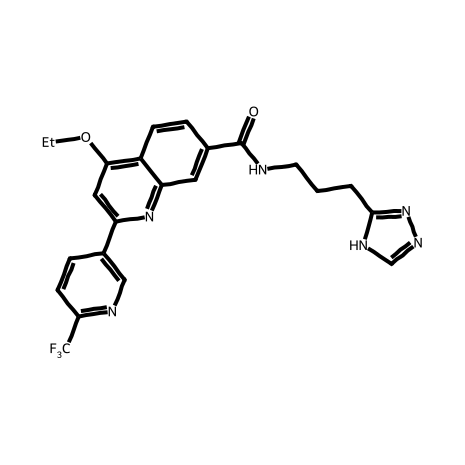 CCOc1cc(-c2ccc(C(F)(F)F)nc2)nc2cc(C(=O)NCCCc3nnc[nH]3)ccc12